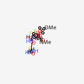 CNC(=O)CCC(=O)OC1[C@@H](COC(c2ccccc2)(c2ccccc2)c2ccc(OC)cc2)O[C@@H](c2cc(CNC(=O)CNC(=O)CCCC[C@@H]3SC[C@@H]4NC(=O)N[C@@H]43)c(F)cc2F)[C@H]1O[Si](C)(C)C(C)(C)C